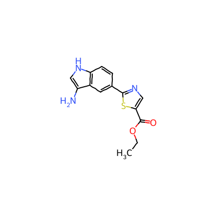 CCOC(=O)c1cnc(-c2ccc3[nH]cc(N)c3c2)s1